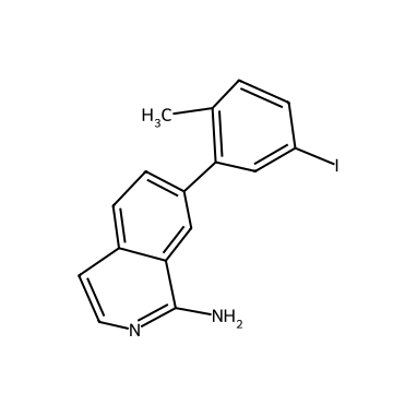 Cc1ccc(I)cc1-c1ccc2ccnc(N)c2c1